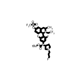 CC1Cc2cc(OS(=O)(=O)C(F)(F)F)ccc2C(c2c(F)cc(N(C(=O)OC(C)(C)C)C3CCN(CCCF)C3)cc2F)N1CC(F)(F)F